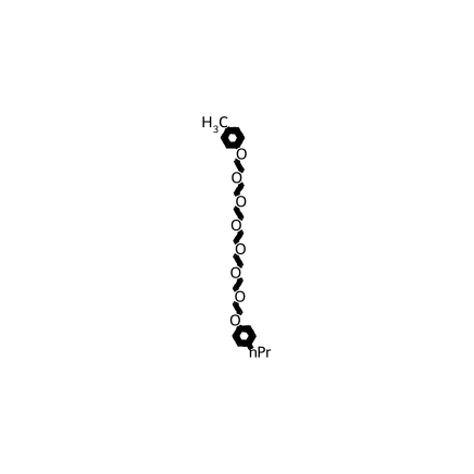 CCCc1ccc(OCCOCCOCCOCCOCCOCCOCCOc2ccc(C)cc2)cc1